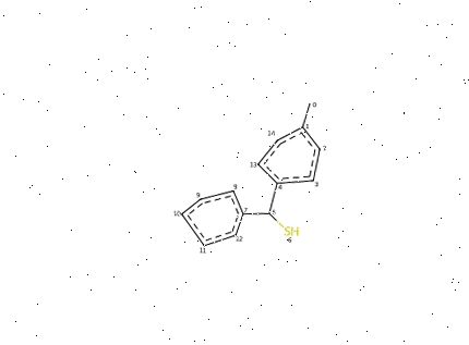 Cc1ccc(C(S)c2ccccc2)cc1